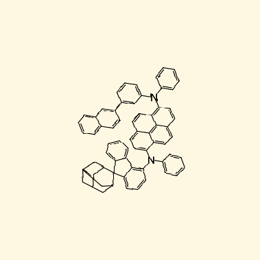 c1ccc(N(c2cccc(-c3ccc4ccccc4c3)c2)c2ccc3ccc4c(N(c5ccccc5)c5cccc6c5-c5ccccc5C65C6CC7CC(C6)CC5C7)ccc5ccc2c3c54)cc1